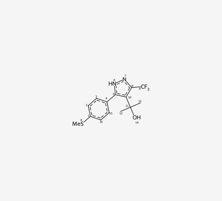 CSc1ccc(-c2[nH]nc(C(F)(F)F)c2C(C)(C)O)cc1